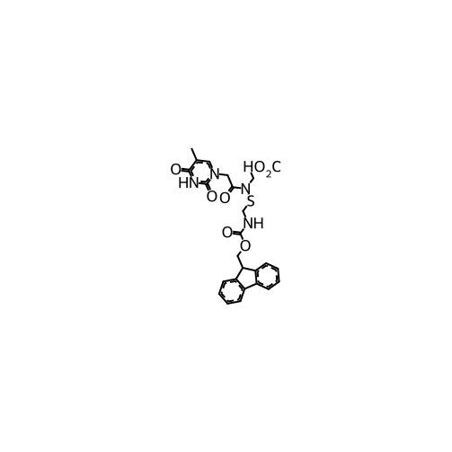 Cc1cn(CC(=O)N(CC(=O)O)SCNC(=O)OCC2c3ccccc3-c3ccccc32)c(=O)[nH]c1=O